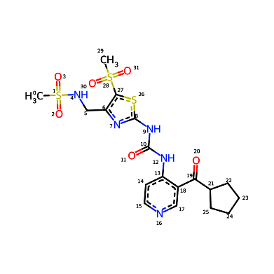 CS(=O)(=O)NCc1nc(NC(=O)Nc2ccncc2C(=O)C2CCCC2)sc1S(C)(=O)=O